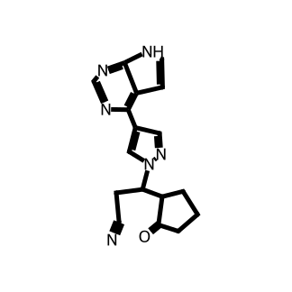 N#CCC(C1CCCC1=O)n1cc(-c2ncnc3[nH]ccc23)cn1